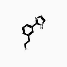 FCCc1[c]ccc(-c2ncc[nH]2)c1